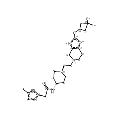 Cc1nnc(CC(=O)N[C@H]2CC[C@H](CCN3CCc4sc(OC5CC(F)(F)C5)nc4C3)CC2)s1